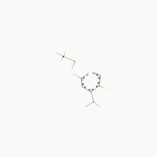 CC(C)c1cc(OCC(C)(F)F)ncc1F